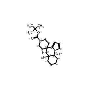 CC(C)(C)OC(=O)N1CCC2(CC1)N[C@H]1CCCC[C@@H]1n1cccc12